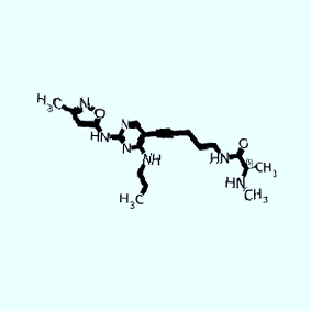 CCCNc1nc(Nc2cc(C)no2)ncc1C#CCCCNC(=O)[C@H](C)NC